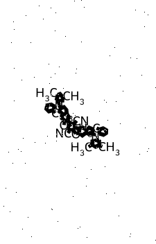 Cc1cc(C)cc(N(c2ccc3cc4c(cc3c2)oc2c(C#N)c3oc5cc6cc(N(c7cc(C)cc(C)c7)c7ccccc7C)ccc6cc5c3c(C#N)c24)c2ccccc2C)c1